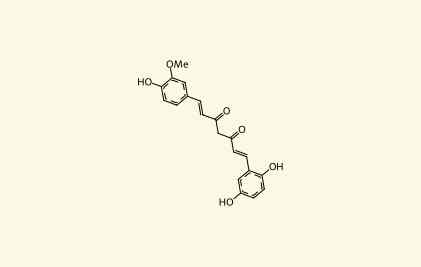 COc1cc(C=CC(=O)CC(=O)C=Cc2cc(O)ccc2O)ccc1O